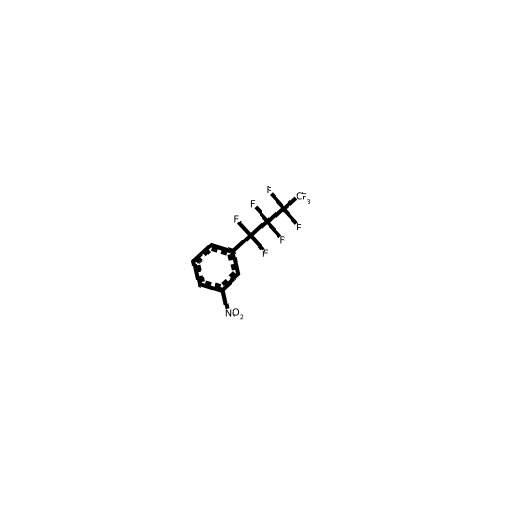 O=[N+]([O-])c1cccc(C(F)(F)C(F)(F)C(F)(F)C(F)(F)F)c1